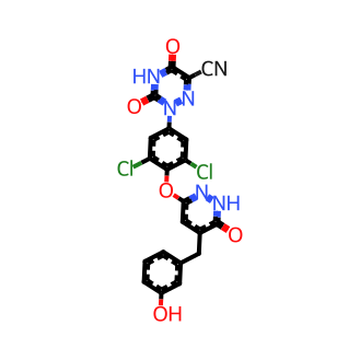 N#Cc1nn(-c2cc(Cl)c(Oc3cc(Cc4cccc(O)c4)c(=O)[nH]n3)c(Cl)c2)c(=O)[nH]c1=O